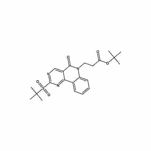 CC(C)(C)OC(=O)CCn1c(=O)c2cnc(S(=O)(=O)C(C)(C)C)nc2c2ccccc21